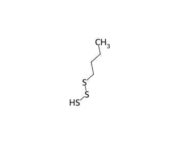 CCCCSSS